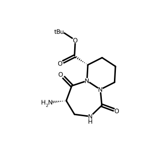 CC(C)(C)OC(=O)[C@@H]1CCCN2C(=O)NC[C@H](N)C(=O)N12